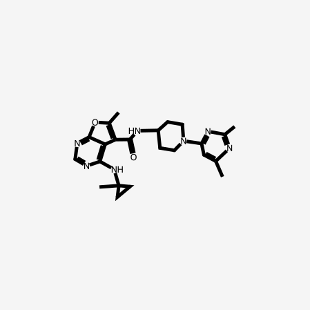 Cc1cc(N2CCC(NC(=O)c3c(C)oc4ncnc(NC5(C)CC5)c34)CC2)nc(C)n1